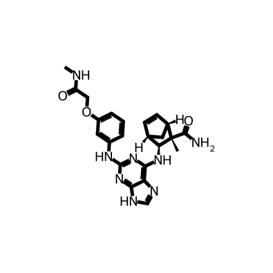 CNC(=O)COc1cccc(Nc2nc(N[C@H]3[C@@H]4C=C[C@@H](C4)[C@]3(C)C(N)=O)c3nc[nH]c3n2)c1